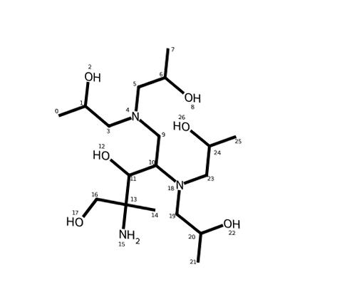 CC(O)CN(CC(C)O)CC(C(O)C(C)(N)CO)N(CC(C)O)CC(C)O